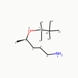 C[C@H](CCCN)O[Si](C)(C)C(C)(C)C